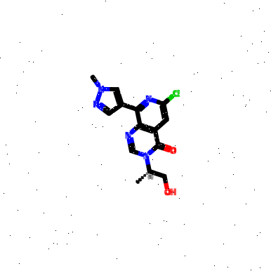 C[C@@H](CO)n1cnc2c(-c3cnn(C)c3)nc(Cl)cc2c1=O